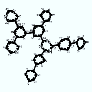 c1ccc(-c2ccc(-c3nc(-c4ccc(-c5ccccc5)cc4)nc(-c4cc(-c5ccccc5)cc(-c5cc(-c6cccnc6)cc(-c6cccnc6)c5)c4)n3)cc2)cc1